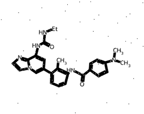 CCNC(=O)Nc1cc(-c2cccc(NC(=O)c3ccc(N(C)C)cc3)c2C)cn2ccnc12